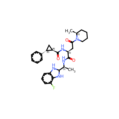 C[C@H](NC(=O)[C@H](CC(=O)N1CCCC[C@@H]1C)NC(=O)[C@@H]1C[C@H]1c1ccccc1)C1Nc2cccc(F)c2N1